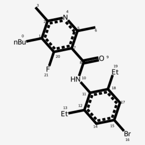 CCCCc1c(C)nc(C)c(C(=O)Nc2c(CC)cc(Br)cc2CC)c1F